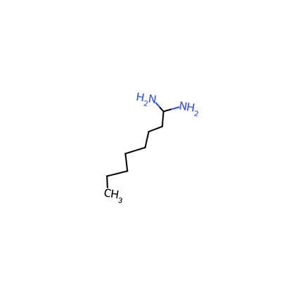 CCCCCCCC(N)N